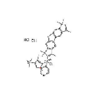 Cl.Cl.[CH2]=[Zr]([CH2]C)([C]1=C(C)C([Si](C)(C)C)=CC1C)([C]1=C(C)c2cc3c(cc2C1(C)C)Cc1cc2c(cc1-3)C(C)=CC2(C)C)[c]1ccccc1